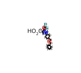 O=C(O)c1cn(C2CCC(COCc3ccccc3)CC2)nc1OC(F)F